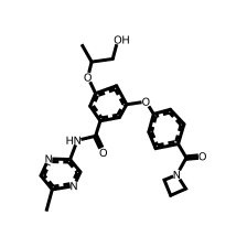 Cc1cnc(NC(=O)c2cc(Oc3ccc(C(=O)N4CCC4)cc3)cc(OC(C)CO)c2)cn1